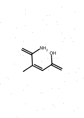 C=C(O)/C=C(/C)C(=C)N